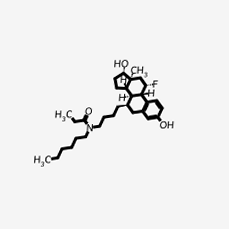 CCCCCCN(CCCC[C@@H]1Cc2cc(O)ccc2[C@@H]2[C@@H]1[C@@H]1CC[C@H](O)[C@@]1(C)C[C@@H]2F)C(=O)CC